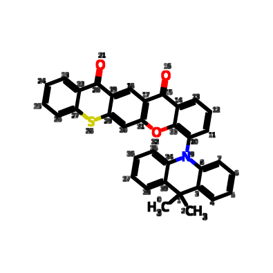 CC1(C)c2ccccc2N(c2cccc3c(=O)c4cc5c(=O)c6ccccc6sc5cc4oc23)c2ccccc21